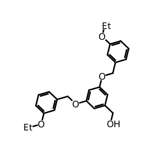 CCOc1cccc(COc2cc(CO)cc(OCc3cccc(OCC)c3)c2)c1